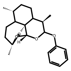 C[C@H]1C(Oc2ccccc2)O[C@@H]2O[C@]3(C)CCC4[C@H](C)CCC1[C@]42OO3